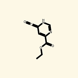 CCOC(=O)C1=CC(=C=O)NC=N1